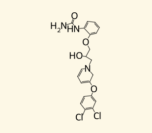 NC(=O)Nc1ccccc1OCC(O)CN1C=CC=C(Oc2ccc(Cl)c(Cl)c2)C1